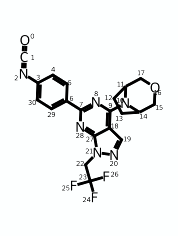 O=C=Nc1ccc(-c2nc(N3C4CCC3COC4)c3cnn(CC(F)(F)F)c3n2)cc1